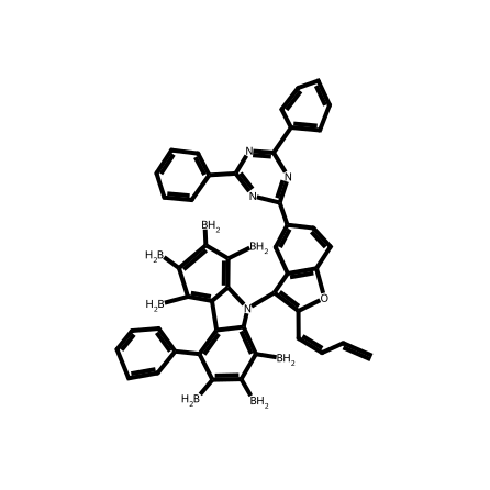 Bc1c(B)c(B)c2c(c1B)c1c(-c3ccccc3)c(B)c(B)c(B)c1n2-c1c(/C=C\C=C)oc2ccc(-c3nc(-c4ccccc4)nc(-c4ccccc4)n3)cc12